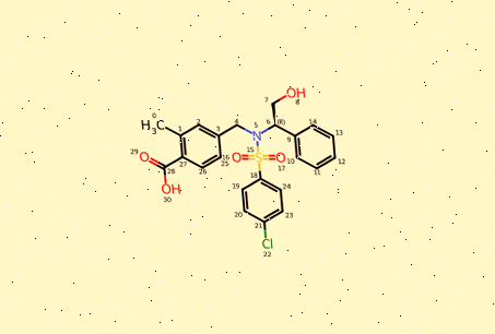 Cc1cc(CN([C@@H](CO)c2ccccc2)S(=O)(=O)c2ccc(Cl)cc2)ccc1C(=O)O